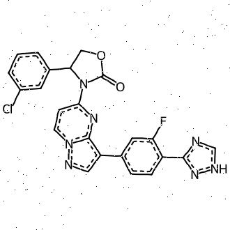 O=C1OCC(c2cccc(Cl)c2)N1c1ccn2ncc(-c3ccc(-c4nc[nH]n4)c(F)c3)c2n1